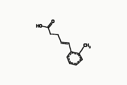 Cc1ccccc1/C=C/CCC(=O)O